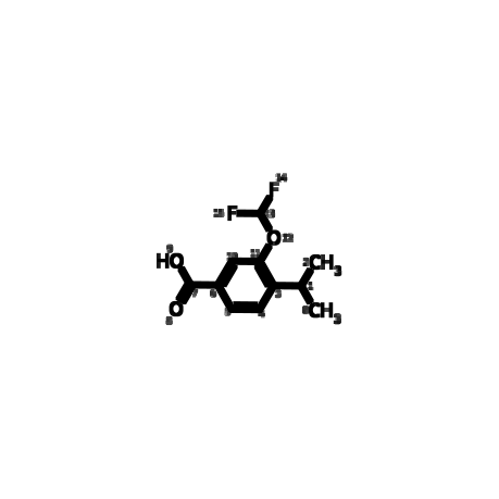 CC(C)c1ccc(C(=O)O)cc1OC(F)F